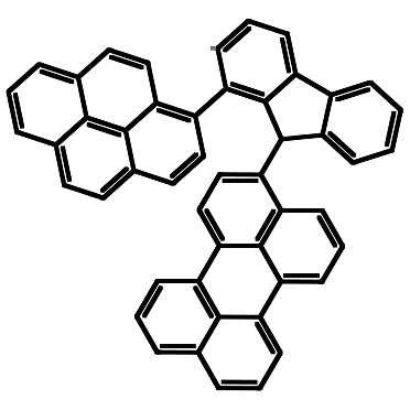 [c]1ccc2c(c1-c1ccc3ccc4cccc5ccc1c3c45)C(c1ccc3c4cccc5cccc(c6cccc1c63)c54)c1ccccc1-2